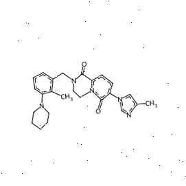 Cc1cn(-c2ccc3n(c2=O)CCN(Cc2cccc(N4CCCCC4)c2C)C3=O)cn1